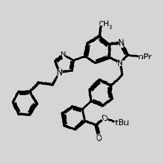 CCCc1nc2c(C)cc(-c3cn(CCc4ccccc4)cn3)cc2n1Cc1ccc(-c2ccccc2C(=O)OC(C)(C)C)cc1